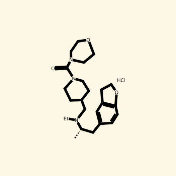 CCN(CC1CCN(C(=O)N2CCOCC2)CC1)[C@@H](C)Cc1ccc2c(c1)CCO2.Cl